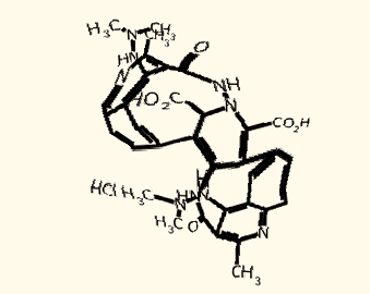 Cc1nc2ccc3cc2c(NN(C)C)c1C(=O)NC1=C2c4ccc5nc(C)c(c(NN(C)C)c5c4)C(=O)NN(C(C(=O)O)=C13)C2C(=O)O.Cl